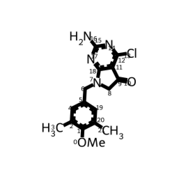 COc1c(C)cc(CN2CC(=O)c3c(Cl)nc(N)nc32)cc1C